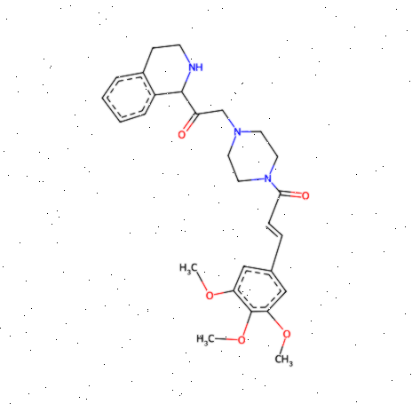 COc1cc(C=CC(=O)N2CCN(CC(=O)C3NCCc4ccccc43)CC2)cc(OC)c1OC